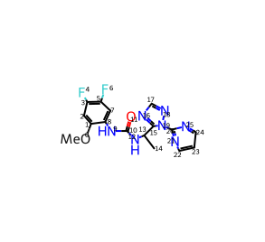 COc1cc(F)c(F)cc1NC(=O)NC(C)c1ncnn1-c1ncccn1